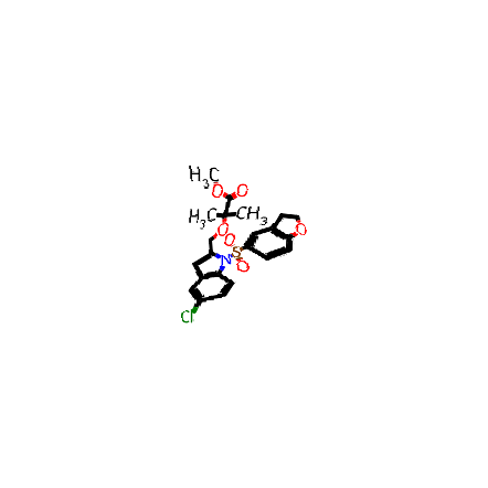 COC(=O)C(C)(C)OCc1cc2cc(Cl)ccc2n1S(=O)(=O)c1ccc2c(c1)CCO2